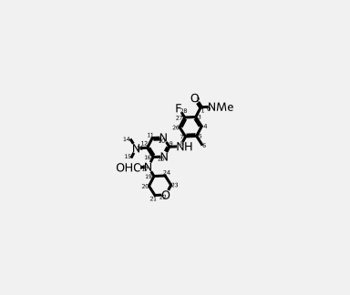 CNC(=O)c1cc(C)c(Nc2ncc(N(C)C)c(N(C=O)C3CCOCC3)n2)cc1F